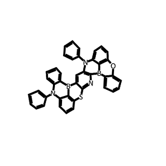 c1ccc(N2c3cc4c(nc3B3c5ccccc5Oc5cccc2c53)Sc2cccc3c2B4c2ccccc2N3c2ccccc2)cc1